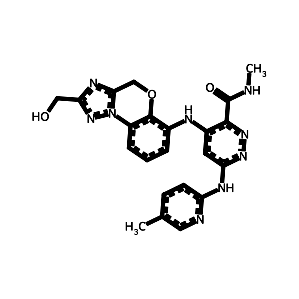 CNC(=O)c1nnc(Nc2ccc(C)cn2)cc1Nc1cccc2c1OCc1nc(CO)nn1-2